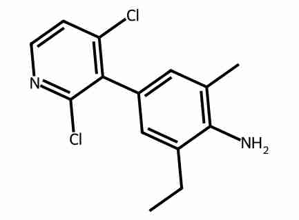 CCc1cc(-c2c(Cl)ccnc2Cl)cc(C)c1N